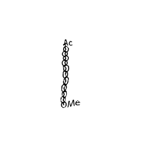 COCCOCCOCCOCCOCCOCCOCCOCCOCCOCCOCCC(C)C(C)=O